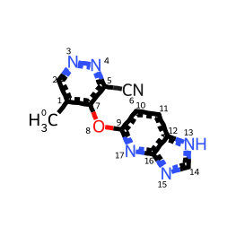 Cc1cnnc(C#N)c1Oc1ccc2[nH]cnc2n1